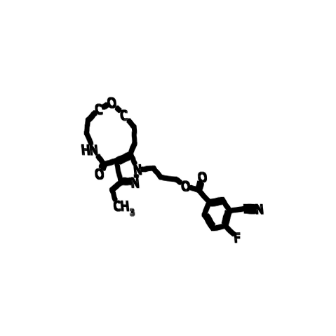 CCc1nn(CCCOC(=O)c2ccc(F)c(C#N)c2)c2c1C(=O)NCCCOCCC2